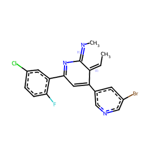 C/C=C1/C(c2cncc(Br)c2)=CC(c2cc(Cl)ccc2F)=N/C1=N/C